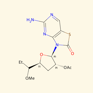 CCC(OC)[C@@H]1C[C@@H](OC(C)=O)[C@H](n2c(=O)sc3cnc(N)nc32)O1